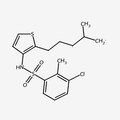 [CH2]C(C)[CH]CCc1sccc1NS(=O)(=O)c1cccc(Cl)c1C